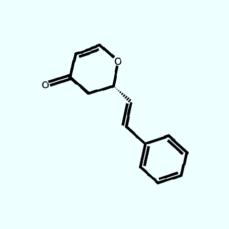 O=C1C=CO[C@H](C=Cc2ccccc2)C1